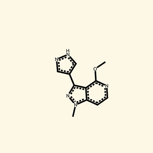 COc1nccc2c1c(-c1cn[nH]c1)nn2C